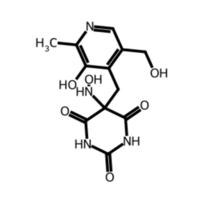 Cc1ncc(CO)c(CC2(NO)C(=O)NC(=O)NC2=O)c1O